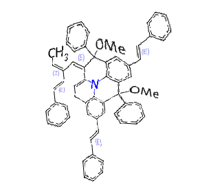 C/C=C(/C=C/c1ccccc1)\C=C1/C2=CCc3cc(/C=C/c4ccccc4)cc4c3N2c2c(cc(/C=C/c3ccccc3)cc2C4(OC)c2ccccc2)C1(OC)c1ccccc1